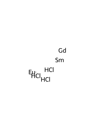 Cl.Cl.Cl.[Eu].[Gd].[Sm]